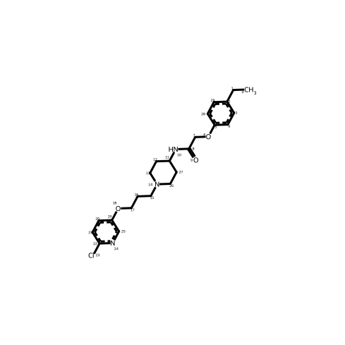 CCc1ccc(OCC(=O)NC2CCN(CCCOc3ccc(Cl)nc3)CC2)cc1